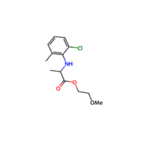 COCCOC(=O)C(C)Nc1c(C)cccc1Cl